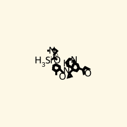 Cc1ccc(OC([SiH3])[C@@H]2CCN2C)cc1C(=O)NC1(c2cc(-c3ccoc3)cc3ncccc23)CC1